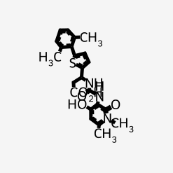 Cc1cccc(C)c1-c1ccc(C(CC(=O)O)NC(=O)Nc2c(O)cc(C)n(C)c2=O)s1